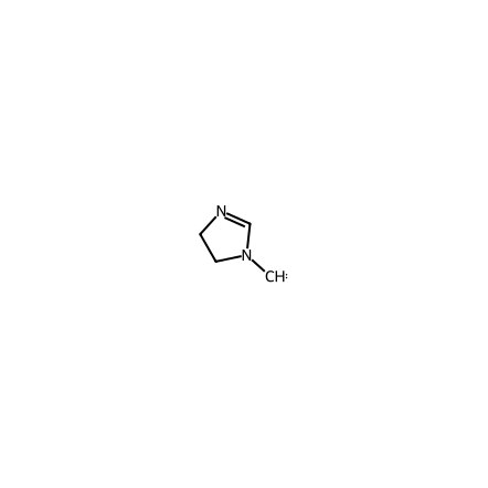 [CH]N1C=NCC1